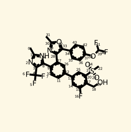 Cc1nc(C(F)(F)F)c(-c2ccc(-c3cc(F)c(CO)c(S(C)(=O)=O)c3)cc2-c2nc(C)oc2-c2ccc(OC(F)F)cc2)[nH]1